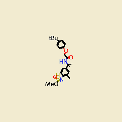 CO[SH](=O)=Nc1ccc([C@@H](C)NC(=O)COc2ccc(C(C)(C)C)cc2)cc1C